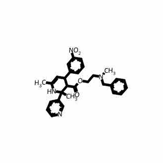 CC1=CC(c2cccc([N+](=O)[O-])c2)C(C(=O)OCCN(C)Cc2ccccc2)C(C)(c2cccnc2)N1